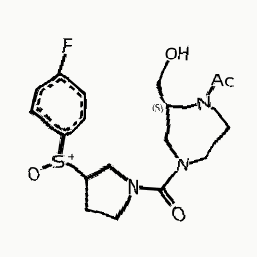 CC(=O)N1CCN(C(=O)N2CCC([S+]([O-])c3ccc(F)cc3)C2)C[C@H]1CO